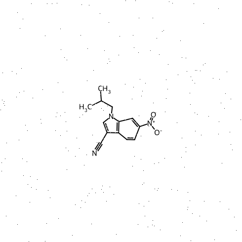 CC(C)Cn1cc(C#N)c2ccc([N+](=O)[O-])cc21